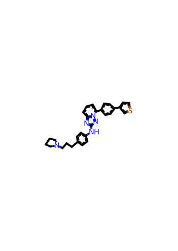 c1cc(-c2ccc(-c3ccsc3)cc2)n2nc(Nc3ccc(CCCN4CCCC4)cc3)nc2c1